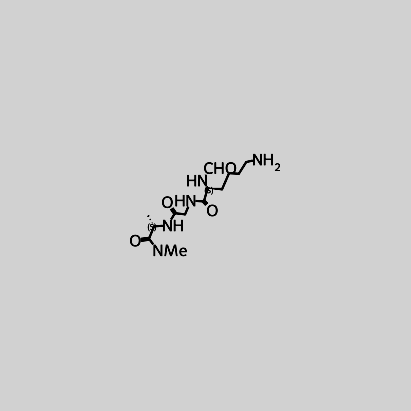 CNC(=O)[C@H](C)NC(=O)CNC(=O)[C@H](CCCCN)NC=O